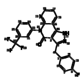 O=c1c2c(Cc3ccc(F)cc3)n[nH]c2c2cccnc2n1-c1cccc(C(F)(F)F)c1